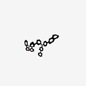 c1ccc(-c2ccc(N(c3ccc(-c4ccc5ccccc5c4)cc3)c3cccc(-c4ccc(-n5c6ccccc6c6ccccc65)c(-c5ccccc5)c4)c3)cc2)cc1